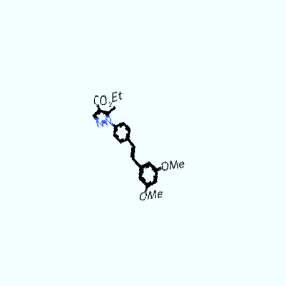 CCOC(=O)c1cnn(-c2ccc(C=Cc3cc(OC)cc(OC)c3)cc2)c1C